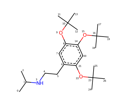 CC(C)NCCc1cc(OC(C)(C)C)c(OC(C)(C)C)cc1OC(C)(C)C